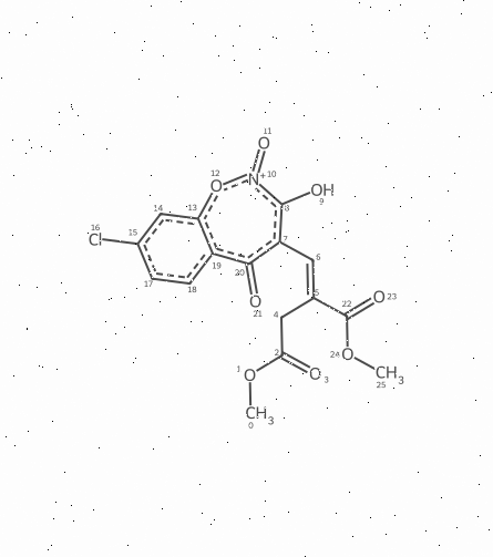 COC(=O)CC(=Cc1c(O)[n+](=O)oc2cc(Cl)ccc2c1=O)C(=O)OC